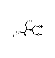 CNC(=O)C(CO)=C(CO)CO